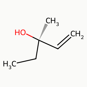 C=C[C@](C)(O)CC